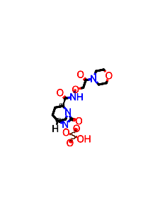 O=C(NOCC(=O)N1CCOCC1)[C@@H]1CC[C@@H]2CN1C(=O)N2OS(=O)(=O)O